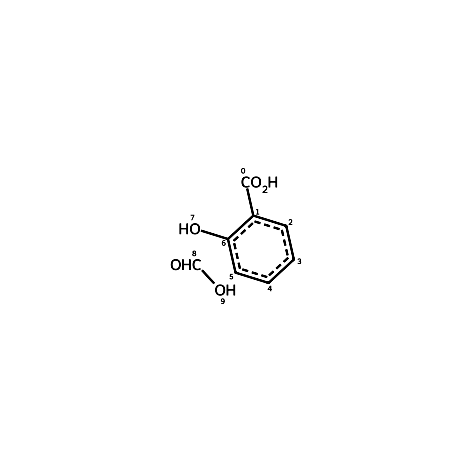 O=C(O)c1ccccc1O.O=CO